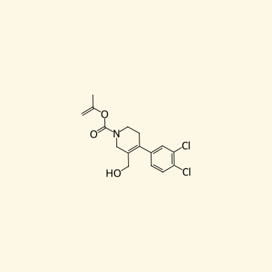 C=C(C)OC(=O)N1CCC(c2ccc(Cl)c(Cl)c2)=C(CO)C1